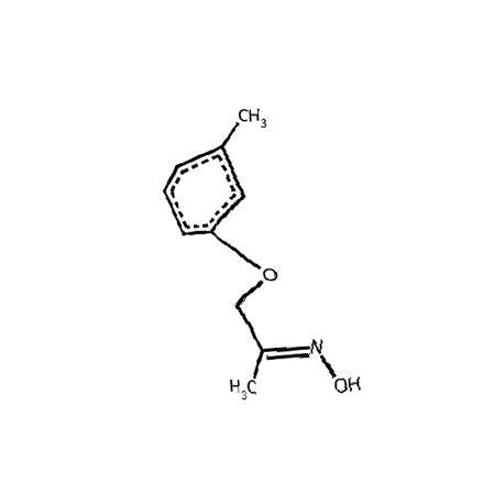 CC(COc1cccc(C)c1)=NO